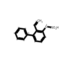 C=Cc1c(OS(=O)(=O)O)cccc1-c1ccccc1